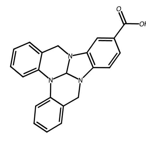 O=C(O)c1ccc2c(c1)N1Cc3ccccc3N3c4ccccc4CN2C13